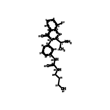 C[C@H](N)c1nc2c(F)cccc2c(=O)n1-c1cccc(NC(=O)NCCCO)c1